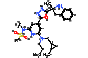 COCCN(CC1CC1C)c1cc(-c2nnc([C@](C)(N)Cc3ccccc3)o2)cc(N(C)S(=O)(=O)C(C)C)n1